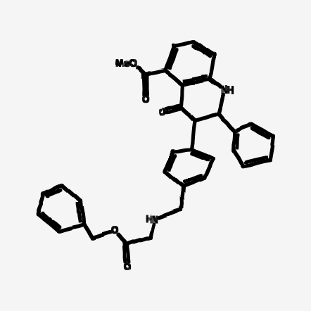 COC(=O)c1cccc2c1C(=O)C(c1ccc(CNCC(=O)OCc3ccccc3)cc1)C(c1ccccc1)N2